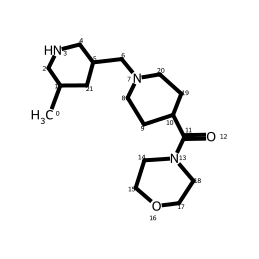 CC1CNCC(CN2CCC(C(=O)N3CCOCC3)CC2)C1